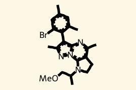 COCC(C)N1CCc2c(C)nc3c(-c4c(C)cc(C)cc4Br)c(C)nn3c21